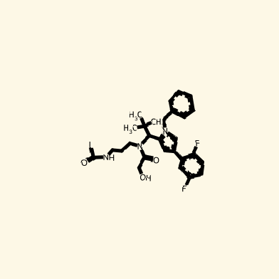 CC(C)(C)C(c1cc(-c2cc(F)ccc2F)cn1Cc1ccccc1)N(CCCNC(=O)I)C(=O)CO